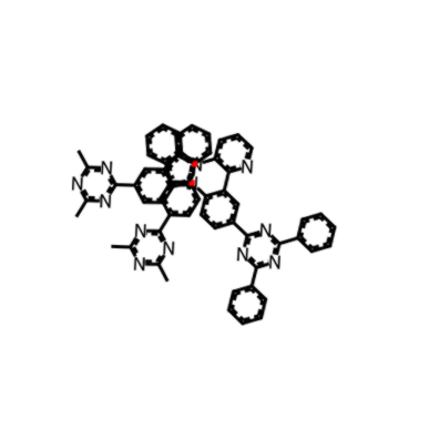 Cc1nc(C)nc(-c2ccc3c(c2)c2ccccc2n3-c2ccc(-c3nc(-c4ccccc4)nc(-c4ccccc4)n3)cc2-c2ncccc2-n2c3ccccc3c3cc(-c4nc(C)nc(C)n4)ccc32)n1